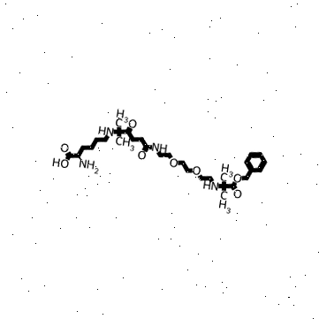 CC(C)(NCCCC[C@H](N)C(=O)O)C(=O)CCC(=O)NCCOCCOCCNC(C)(C)C(=O)OCc1ccccc1